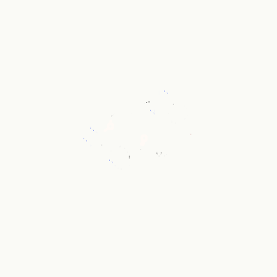 COC(=O)c1cc(C)nc(-c2cnn(C)c2OC[C@H]2CC[C@@H](CNc3cc(Br)ccc3N)C2)c1